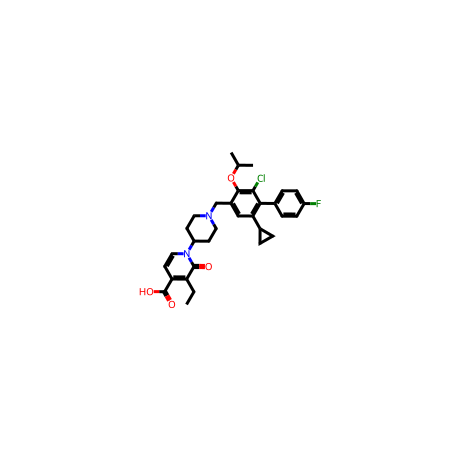 CCc1c(C(=O)O)ccn(C2CCN(Cc3cc(C4CC4)c(-c4ccc(F)cc4)c(Cl)c3OC(C)C)CC2)c1=O